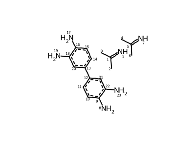 CC(C)=N.CC(C)=N.Nc1ccc(-c2ccc(N)c(N)c2)cc1N